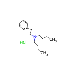 CCCCN(CCCC)CCc1ccccc1.Cl